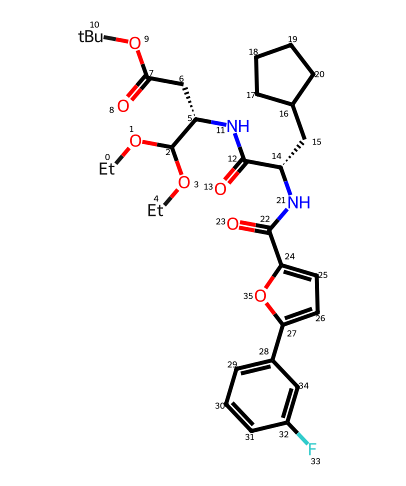 CCOC(OCC)[C@H](CC(=O)OC(C)(C)C)NC(=O)[C@H](CC1CCCC1)NC(=O)c1ccc(-c2cccc(F)c2)o1